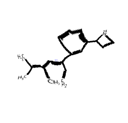 C=C/C(=C\C(C)=C(C)C)c1cccc(C2CCN2)c1